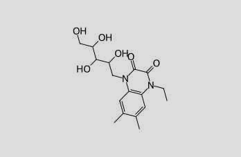 CCn1c(=O)c(=O)n(CC(O)C(O)C(O)CO)c2cc(C)c(C)cc21